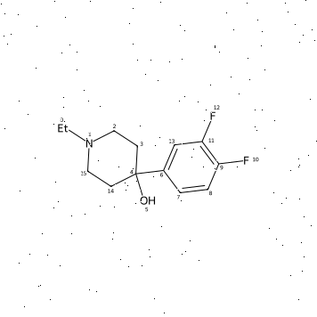 CCN1CCC(O)(c2ccc(F)c(F)c2)CC1